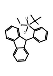 C[O][Ti]([Cl])([Cl])([c]1ccccc1C1c2ccccc2-c2ccccc21)[C](C)(C)C